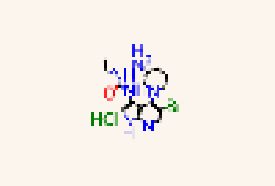 CCNC(=O)Nc1c[nH]c2ncc(Br)c(N3CCC[C@@H](N)C3)c12.Cl